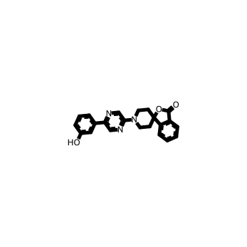 O=C1OC2(CCN(c3cnc(-c4cccc(O)c4)cn3)CC2)c2ccccc21